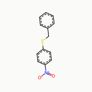 O=[N+]([O-])c1ccc(SCc2ccccc2)cc1